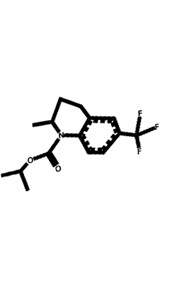 CC(C)OC(=O)N1c2ccc(C(F)(F)F)cc2CCC1C